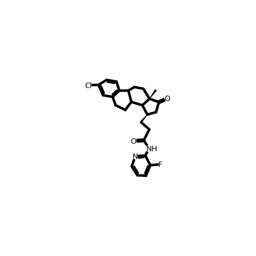 C[C@]12CCC3c4ccc(Cl)cc4CCC3C1[C@H](CCC(=O)Nc1ncccc1F)CC2=O